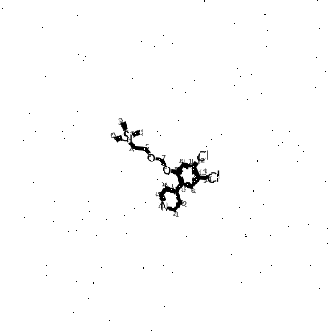 C[Si](C)(C)CCOCOc1cc(Cl)c(Cl)cc1C1=CC=NCC1